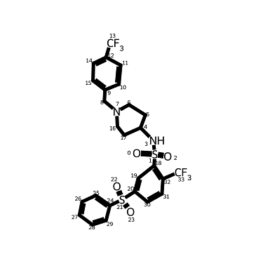 O=S(=O)(NC1CCN(Cc2ccc(C(F)(F)F)cc2)CC1)c1cc(S(=O)(=O)c2ccccc2)ccc1C(F)(F)F